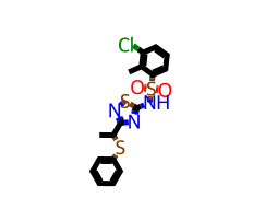 Cc1c(Cl)cccc1S(=O)(=O)Nc1nc(C(C)Sc2ccccc2)ns1